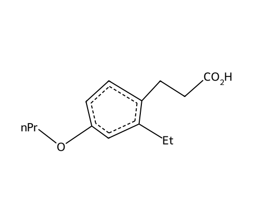 CCCOc1ccc(CCC(=O)O)c(CC)c1